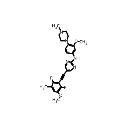 COc1cc(Nc2ncc(C#Cc3c(F)c(C)cc(OC)c3F)cn2)ccc1N1CCN(C)CC1